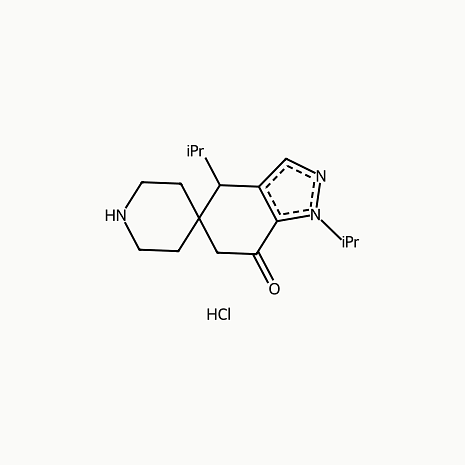 CC(C)C1c2cnn(C(C)C)c2C(=O)CC12CCNCC2.Cl